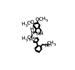 CNCc1ccccc1C1=C[SH](C(C)Nc2nncc3cc(OC)c(OC)cc23)C=C1